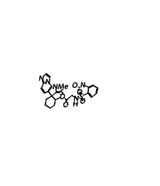 CNC(=S)C1(c2ccc3nccn3c2)CCCCC1OC(=O)CNS(=O)(=O)c1ccccc1[N+](=O)[O-]